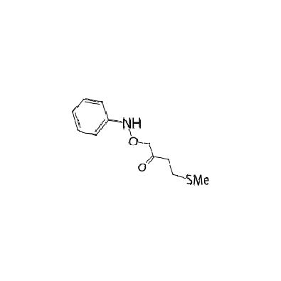 CSCCC(=O)CONc1ccccc1